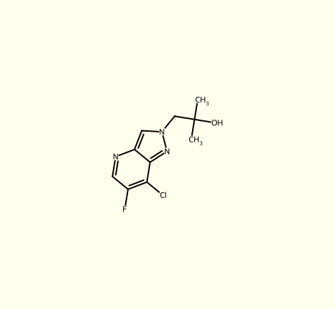 CC(C)(O)Cn1cc2ncc(F)c(Cl)c2n1